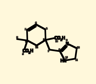 CC1(C(=O)O)C=CCC(CC2=NCCN2)(C(=O)O)C1